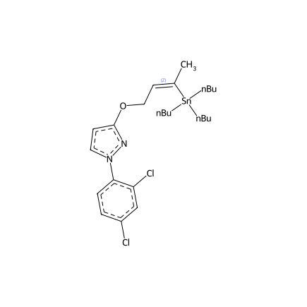 CCC[CH2][Sn]([CH2]CCC)([CH2]CCC)/[C](C)=C\COc1ccn(-c2ccc(Cl)cc2Cl)n1